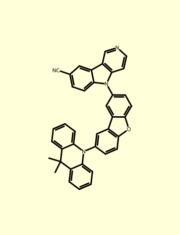 CC1(C)c2ccccc2N(c2ccc3oc4ccc(-n5c6ccncc6c6cc(C#N)ccc65)cc4c3c2)c2ccccc21